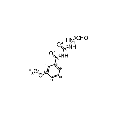 O=CNNC(=O)NC(=O)c1cccc(OC(F)(F)F)c1